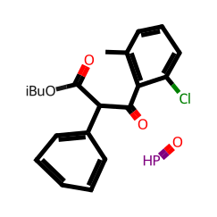 Cc1cccc(Cl)c1C(=O)C(C(=O)OCC(C)C)c1ccccc1.O=P